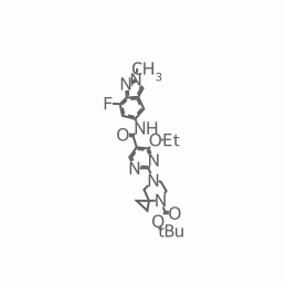 CCOc1nc(N2CCN(C(=O)OC(C)(C)C)C3(CC3)C2)ncc1C(=O)Nc1cc(F)c2nn(C)cc2c1